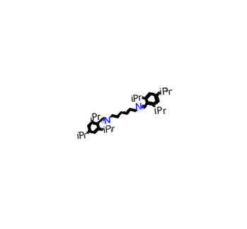 CC(C)c1cc(C(C)C)c(/C=N/CCCCCC/N=C/c2c(C(C)C)cc(C(C)C)cc2C(C)C)c(C(C)C)c1